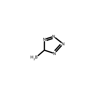 BC1N=NN=N1